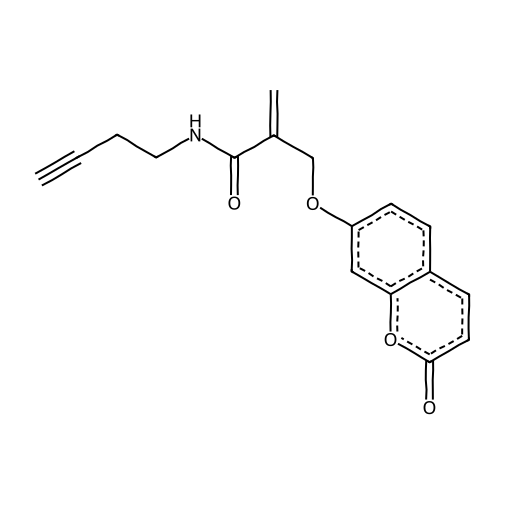 C#CCCNC(=O)C(=C)COc1ccc2ccc(=O)oc2c1